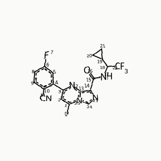 Cc1cc(-c2cc(F)ccc2C#N)nc2c(C(=O)NC(C3CC3)C(F)(F)F)ncn12